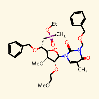 CCOP(C)(=O)C[C@@H](OCc1ccccc1)[C@H]1O[C@@H](n2cc(C)c(=O)n(COCc3ccccc3)c2=O)[C@H](OCCOC)[C@@H]1OC